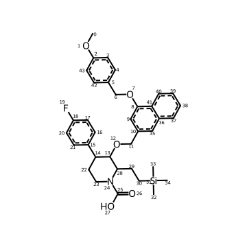 COc1ccc(COc2cc(COC3C(c4ccc(F)cc4)CCN(C(=O)O)C3CC[Si](C)(C)C)cc3ccccc23)cc1